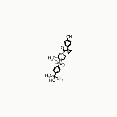 C[C@@H]1CN(C(=O)C2(c3ccc(C#N)cc3)CC2)CCN1S(=O)(=O)c1ccc(C(C)(O)C(F)(F)F)cc1